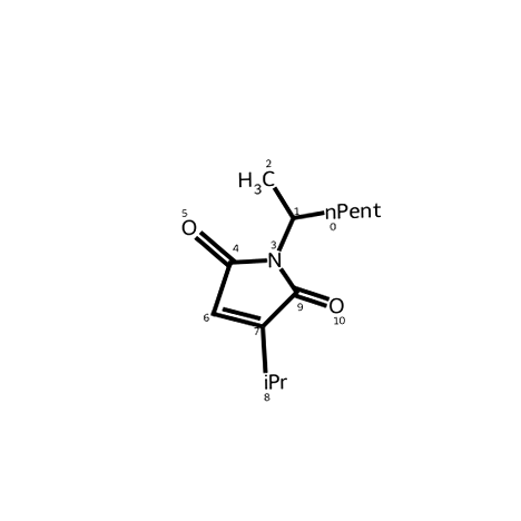 CCCCCC(C)N1C(=O)C=C(C(C)C)C1=O